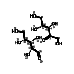 O=C(CO)[C@@H](O)[C@H](O)CO.O=C[C@H](O)[C@@H](O)[C@H](O)CO